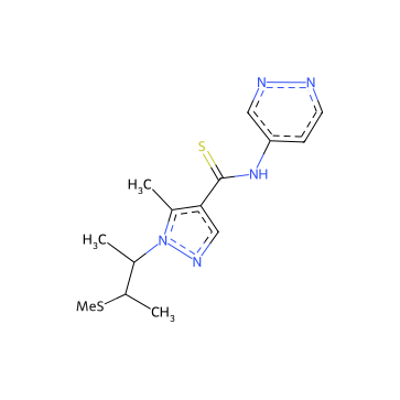 CSC(C)C(C)n1ncc(C(=S)Nc2ccnnc2)c1C